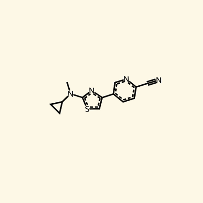 CN(c1nc(-c2ccc(C#N)nc2)cs1)C1CC1